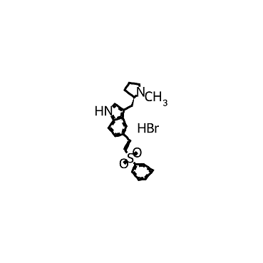 Br.CN1CCC[C@@H]1Cc1c[nH]c2ccc(C=CS(=O)(=O)c3ccccc3)cc12